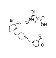 COCCOc1cc(CC2CCN(CCc3ccc4c(c3)C(=O)CCO4)CC2)ccc1Br.O=C(O)/C=C/C(=O)O